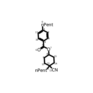 CCCCCc1ccc(C(=O)OC2CCC(C#N)(CCCCC)CC2)cc1